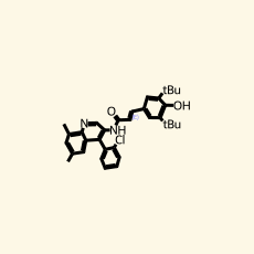 Cc1cc(C)c2ncc(NC(=O)/C=C/c3cc(C(C)(C)C)c(O)c(C(C)(C)C)c3)c(-c3ccccc3Cl)c2c1